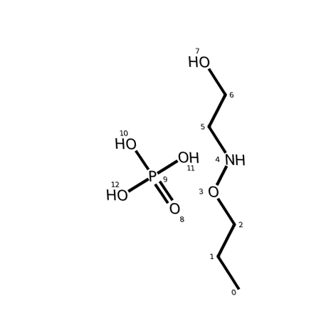 CCCONCCO.O=P(O)(O)O